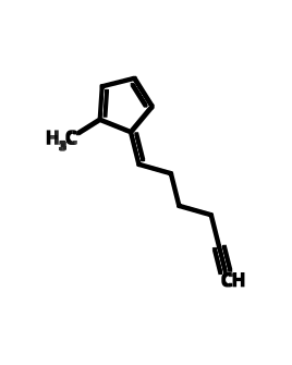 C#CCCCC=C1C=CC=C1C